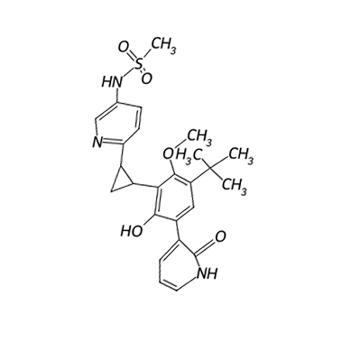 COc1c(C(C)(C)C)cc(-c2ccc[nH]c2=O)c(O)c1C1CC1c1ccc(NS(C)(=O)=O)cn1